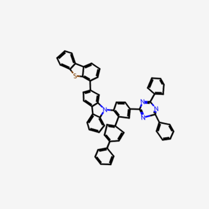 c1ccc(-c2ccc(-c3cc(-c4nc(-c5ccccc5)nc(-c5ccccc5)n4)ccc3-n3c4ccccc4c4ccc(-c5cccc6c5sc5ccccc56)cc43)cc2)cc1